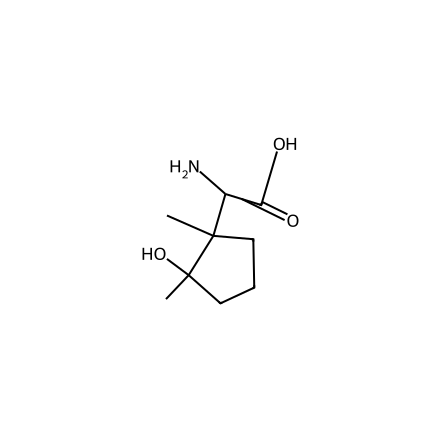 CC1(O)CCCC1(C)C(N)C(=O)O